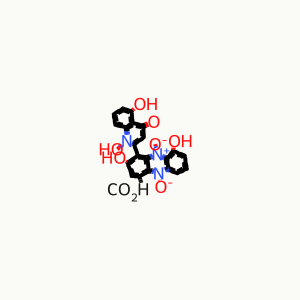 O=C(O)c1cc(O)c(-c2cc(=O)c3c(O)cccc3n2O)c2c1[n+]([O-])c1cccc(O)c1[n+]2[O-]